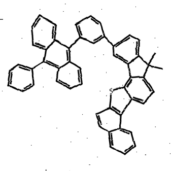 CC1(C)c2ccc(-c3cccc(-c4c5ccccc5c(-c5ccccc5)c5ccccc45)c3)cc2-c2c1ccc1c2sc2ccc3ccccc3c21